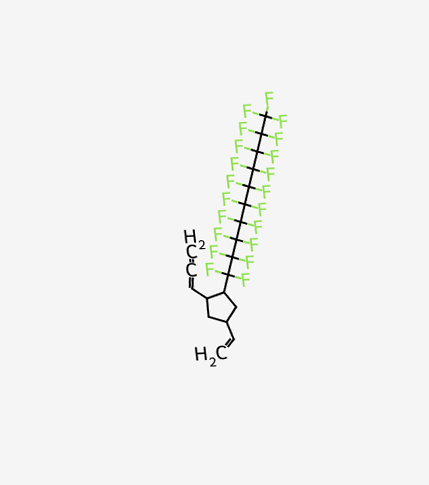 C=C=CC1CC(C=C)CC1C(F)(F)C(F)(F)C(F)(F)C(F)(F)C(F)(F)C(F)(F)C(F)(F)C(F)(F)C(F)(F)C(F)(F)F